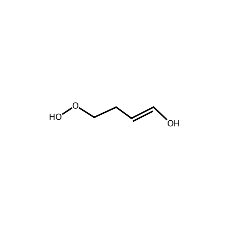 OC=CCCOO